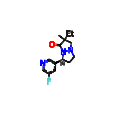 CCC1(C)CN2CC[C@@H](c3cncc(F)c3)N2C1=O